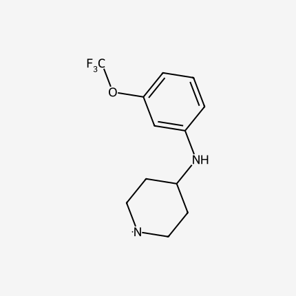 FC(F)(F)Oc1cccc(NC2CC[N]CC2)c1